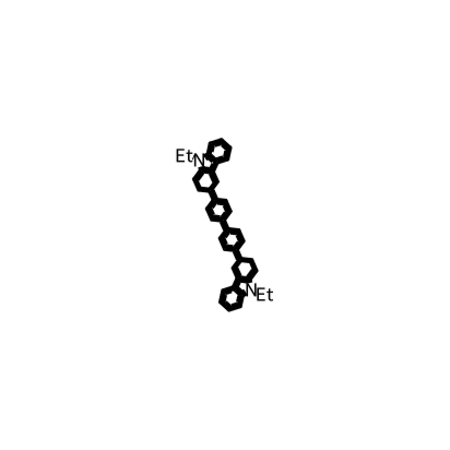 CCn1c2c(c3ccccc31)=CC(=c1ccc(=c3ccc(=C4C=c5c(n(CC)c6ccccc56)=CC4)cc3)cc1)CC=2